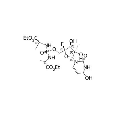 CCOC(=O)[C@H](C)NP(=O)(N[C@@H](C)C(=O)OCC)OC[C@@]1(F)O[C@@H](N2C=CC(O)NC2=O)[C@](C)(O)[C@@H]1O